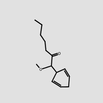 CCCCCC(=O)C(OC)C1C=CCC=C1